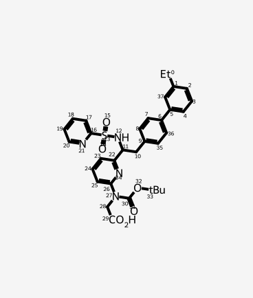 CCc1cccc(-c2ccc(CC(NS(=O)(=O)c3ccccn3)c3cccc(N(CC(=O)O)C(=O)OC(C)(C)C)n3)cc2)c1